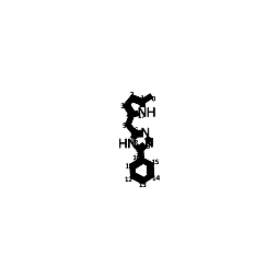 Cc1ccc(Cc2nnc(-c3ccccc3)[nH]2)[nH]1